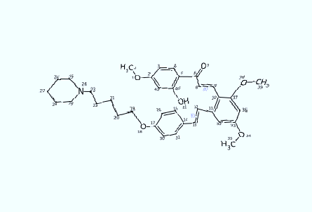 COc1ccc(C(=O)/C=C/c2c(/C=C/c3ccc(OCCCCCN4CCCCC4)cc3)cc(OC)cc2OC)c(O)c1